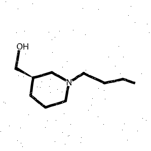 CCCCN1CCC[C@@H](CO)C1